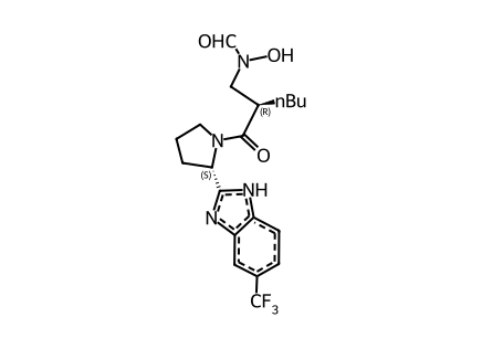 CCCC[C@H](CN(O)C=O)C(=O)N1CCC[C@H]1c1nc2cc(C(F)(F)F)ccc2[nH]1